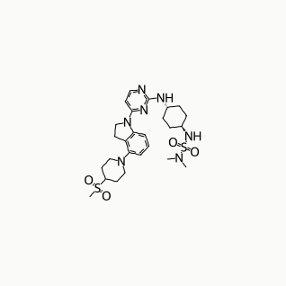 CN(C)S(=O)(=O)N[C@H]1CC[C@H](Nc2nccc(N3CCc4c(N5CCC(S(C)(=O)=O)CC5)cccc43)n2)CC1